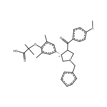 CSc1ccc(C(=O)C2CN(Cc3ccccc3)C[C@@H]2c2cc(C)c(OC(C)(C)C(=O)O)c(C)c2)cc1